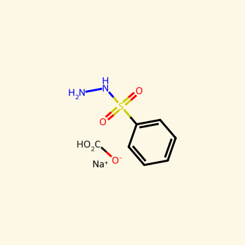 NNS(=O)(=O)c1ccccc1.O=C([O-])O.[Na+]